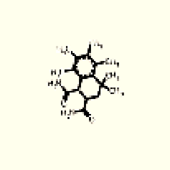 Cc1c(C)c(C)c2c(c1C)C(C(N)=O)C(C(N)=O)CC2(C)C